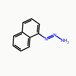 N/N=N/c1cccc2ccccc12